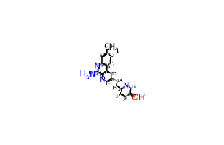 Cc1ccc2c(c1)nc(N)c1ncc(CCc3ccc(O)cn3)cc12